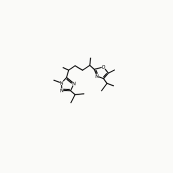 Cc1oc(C(C)CCC(C)c2nc(C(C)C)nn2C)nc1C(C)C